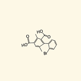 Cc1cc(C(=O)O)c(C)c(C(=O)O)c1-c1ccccc1Br